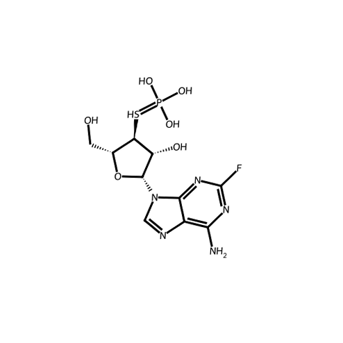 Nc1nc(F)nc2c1ncn2[C@@H]1O[C@H](CO)[C@@H]([SH]=P(O)(O)O)[C@@H]1O